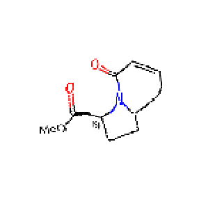 COC(=O)[C@@H]1CCC2CC=CC(=O)N21